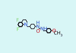 COc1ccc(CNC(=O)NC2CCC(CN3CCCc4c(F)cc(F)cc43)CC2)cc1